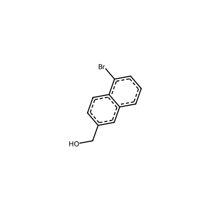 OCc1ccc2c(Br)cccc2c1